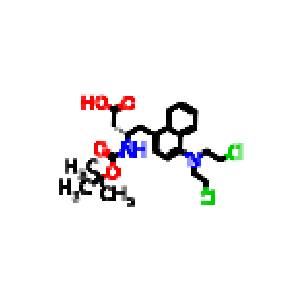 CC(C)(C)OC(=O)N[C@H](CC(=O)O)Cc1ccc(N(CCCl)CCCl)c2ccccc12